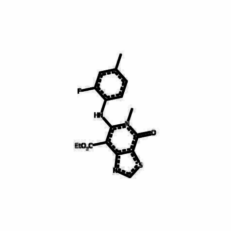 CCOC(=O)c1c(Nc2ccc(C)cc2F)n(C)c(=O)c2scnc12